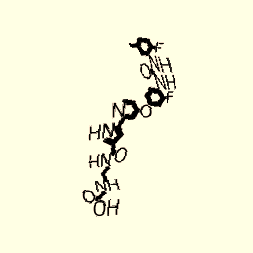 Cc1ccc(F)c(NC(=O)Nc2ccc(Oc3ccnc(-c4cc(C(=O)NCCCNCC(=O)O)c[nH]4)c3)cc2F)c1